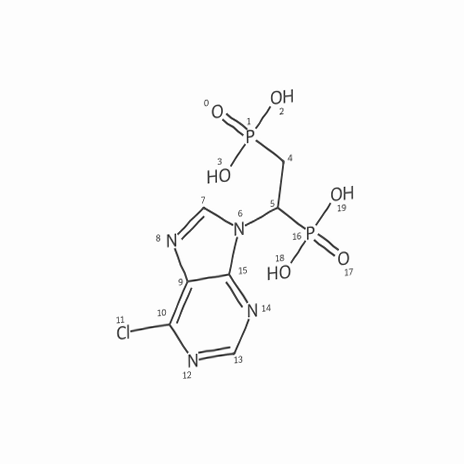 O=P(O)(O)CC(n1cnc2c(Cl)ncnc21)P(=O)(O)O